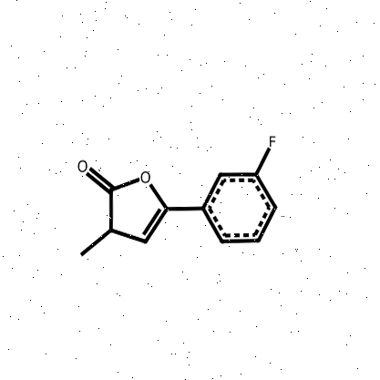 CC1C=C(c2cccc(F)c2)OC1=O